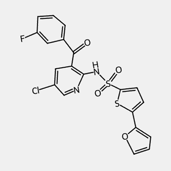 O=C(c1cccc(F)c1)c1cc(Cl)cnc1NS(=O)(=O)c1ccc(-c2ccco2)s1